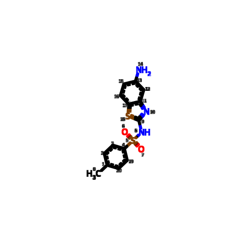 Cc1ccc(S(=O)(=O)Nc2nc3cc(N)ccc3s2)cc1